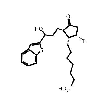 O=C(O)CCCCCC[C@H]1[C@@H](F)CC(=O)[C@@H]1CCC(O)c1cc2ccccc2s1